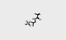 C=C(C)C(=O)NCC(C)OS(C)(=O)=O